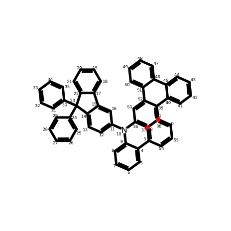 c1ccc(-c2ccccc2N(c2ccc3c(c2)-c2ccccc2C3(c2ccccc2)c2ccccc2)c2ccc3c4ccccc4c4ccccc4c3c2)cc1